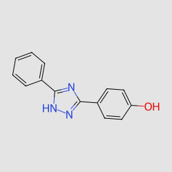 Oc1ccc(-c2n[nH]c(-c3ccccc3)n2)cc1